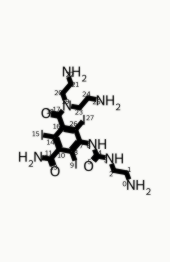 NCCNC(=O)Nc1c(I)c(C(N)=O)c(I)c(C(=O)N(CCN)CCN)c1I